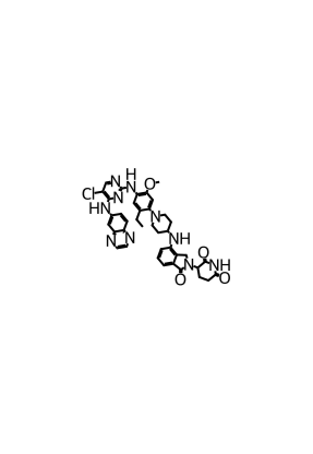 CCc1cc(Nc2ncc(Cl)c(Nc3ccc4nccnc4c3)n2)c(OC)cc1N1CCC(Nc2cccc3c2CN(C2CCC(=O)NC2=O)C3=O)CC1